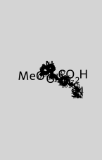 COc1ccc2nccc(C(=O)CC[C@@H]3CCN(CCSc4nccs4)C[C@@H]3C(=O)O)c2c1